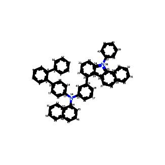 c1ccc(-c2ccccc2-c2ccc(N(c3cccc(-c4cccc5c4c4ccc6ccccc6c4n5-c4ccccc4)c3)c3cccc4ccccc34)cc2)cc1